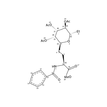 CC[C@@H]1O[C@@H](SC[C@H](NC(=O)c2ccccc2)C(=O)OC)[C@H](OC(C)=O)[C@H](OC(C)=O)[C@H]1OC(C)=O